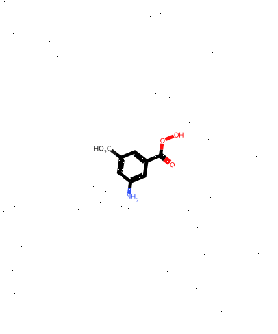 Nc1cc(C(=O)O)cc(C(=O)OO)c1